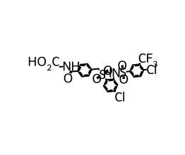 O=C(O)CNC(=O)c1ccc(CS(=O)(=O)c2ccc(Cl)cc2NS(=O)(=O)c2ccc(Cl)c(C(F)(F)F)c2)cc1